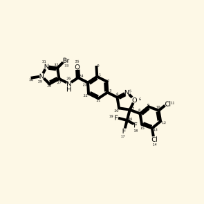 Cc1cc(C2=NOC(c3cc(Cl)cc(Cl)c3)(C(F)(F)F)C2)ccc1C(=O)Nc1cn(C)nc1Br